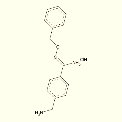 Cl.NCc1ccc(C(N)=NOCc2ccccc2)cc1